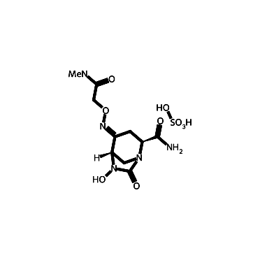 CNC(=O)CO/N=C1\C[C@@H](C(N)=O)N2C[C@@H]1N(O)C2=O.O=S(=O)(O)O